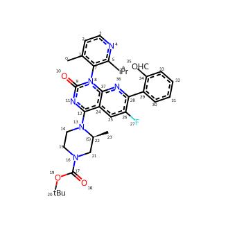 Cc1ccnc(C(C)C)c1-n1c(=O)nc(N2CCN(C(=O)OC(C)(C)C)C[C@@H]2C)c2cc(F)c(-c3ccccc3C=O)nc21